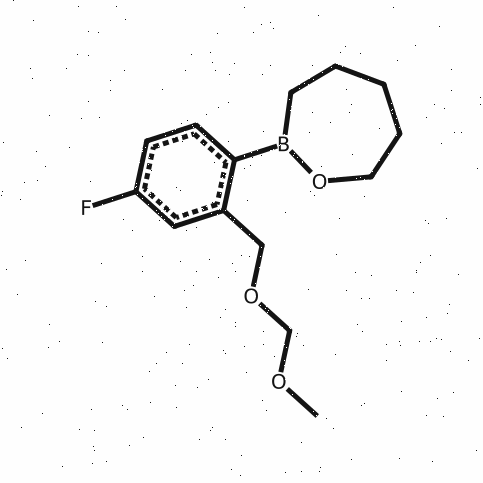 COCOCc1cc(F)ccc1B1CCCCCO1